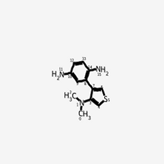 CN(C)c1cscc1-c1cc(N)ccc1N